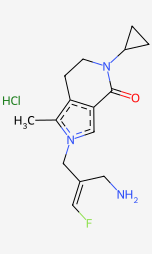 Cc1c2c(cn1C/C(=C/F)CN)C(=O)N(C1CC1)CC2.Cl